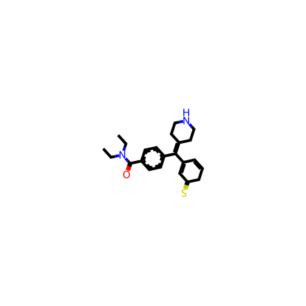 CCN(CC)C(=O)c1ccc(C(C2=CC(=S)CC=C2)=C2CCNCC2)cc1